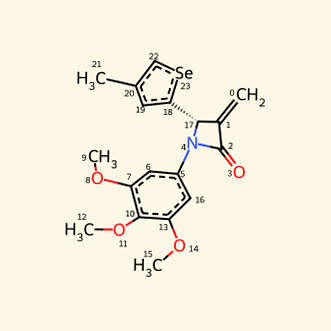 C=C1C(=O)N(c2cc(OC)c(OC)c(OC)c2)[C@@H]1c1cc(C)c[se]1